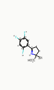 CC[C@]1(C(=O)O)CCC(c2cc(F)c(F)cc2F)=N1